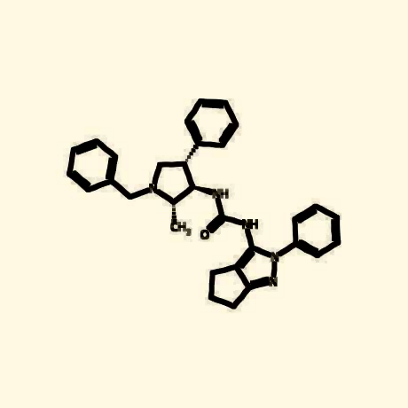 C[C@H]1[C@H](NC(=O)Nc2c3c(nn2-c2ccccc2)CCC3)[C@@H](c2ccccc2)CN1Cc1ccccc1